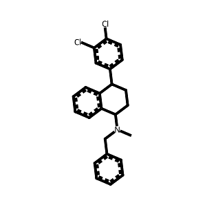 CN(Cc1ccccc1)C1CCC(c2ccc(Cl)c(Cl)c2)c2ccccc21